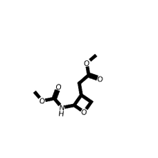 COC(=O)CC1COC1NC(=O)OC